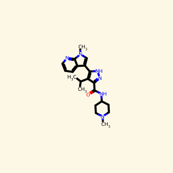 CC(C)c1c(C(=O)NC2CCN(C)CC2)n[nH]c1-c1cn(C)c2ncccc12